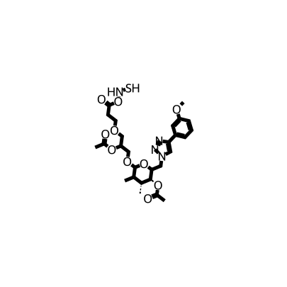 COc1cccc(-c2cn(CC3OC(OCC(COCCC(=O)ONS)OC(C)=O)C(C)[C@@H](C)[C@H]3OC(C)=O)nn2)c1